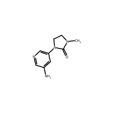 CN1CCN(c2cncc(N)c2)C1=O